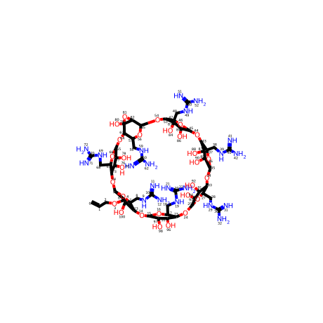 C=CCOC1C2OC(CNC(=N)N)C(OC3OC(CNC(=N)N)C(OC4OC(CNC(=N)N)C(OC5OC(CNC(=N)N)C(OC6OC(CNC(=N)N)C(OC7OC(CNC(=N)N)C(OC8OC(CNC(=N)N)C(O2)C(O)C8O)C2(O)OC72)C(O)C6O)C(O)C5O)C(O)C4O)C(O)C3O)C1O